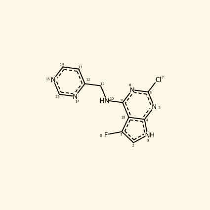 Fc1c[nH]c2nc(Cl)nc(NCc3ccncn3)c12